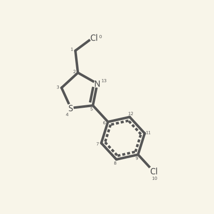 ClCC1CSC(c2ccc(Cl)cc2)=N1